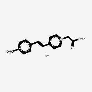 COC(=O)C[n+]1ccc(/C=C/c2ccc(C=O)cc2)cc1.[Br-]